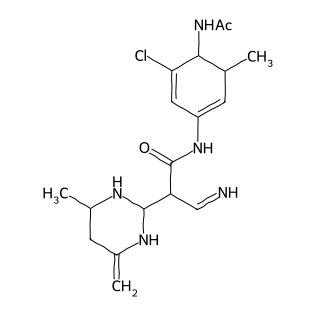 C=C1CC(C)NC(C(C=N)C(=O)NC2=CC(C)C(NC(C)=O)C(Cl)=C2)N1